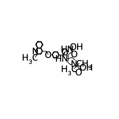 Cc1cc(COc2ccc(C(=O)NC3(CC(=O)NO)CCN(C(C)(C)C(=O)O)CC3)cc2)c2ccccc2n1